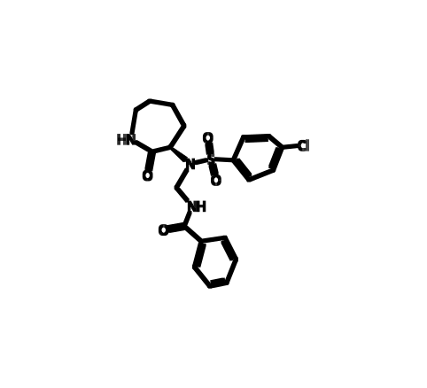 O=C(NCN([C@@H]1CCCCNC1=O)S(=O)(=O)c1ccc(Cl)cc1)c1ccccc1